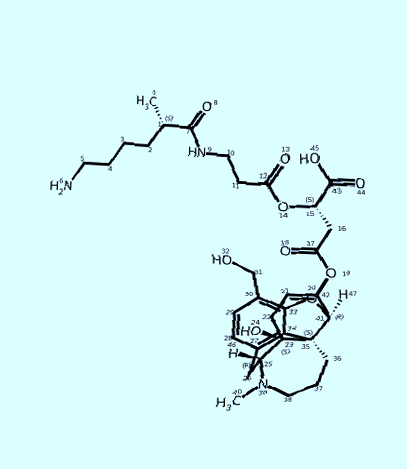 C[C@@H](CCCCN)C(=O)NCCC(=O)O[C@@H](CC(=O)OC1=CC[C@@]2(O)[C@H]3Cc4ccc(CO)c5c4[C@@]2(CCCN3C)[C@H]1O5)C(=O)O